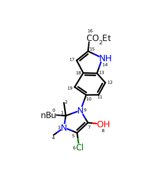 CCCCC1(C)N(C)C(Cl)=C(O)N1c1ccc2[nH]c(C(=O)OCC)cc2c1